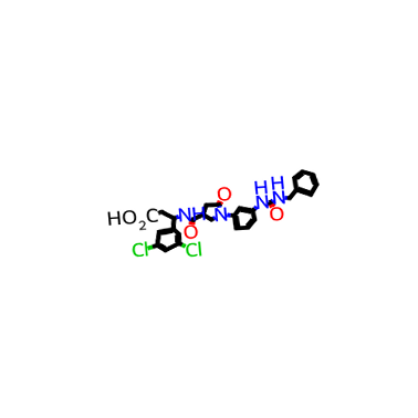 O=C(O)CC(NC(=O)C1CC(=O)N(c2cccc(NC(=O)NCc3ccccc3)c2)C1)c1cc(Cl)cc(Cl)c1